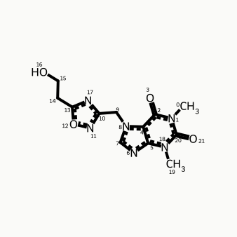 Cn1c(=O)c2c(ncn2Cc2noc(CCO)n2)n(C)c1=O